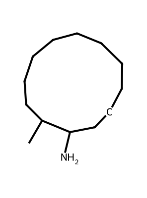 CC1CCCCCCCCCCC1N